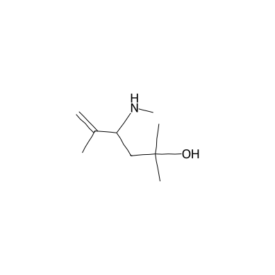 C=C(C)C(CC(C)(C)O)NC